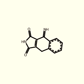 N=C1C2=C(Cc3ccccc31)C(=O)NC2=O